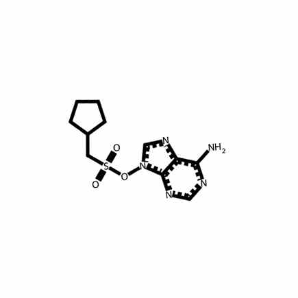 Nc1ncnc2c1ncn2OS(=O)(=O)CC1CCCC1